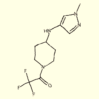 Cn1cc(NC2CCN(C(=O)C(F)(F)F)CC2)cn1